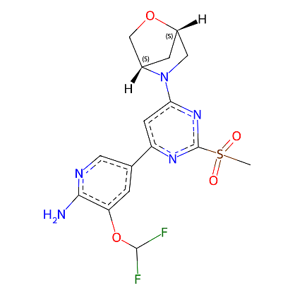 CS(=O)(=O)c1nc(-c2cnc(N)c(OC(F)F)c2)cc(N2C[C@@H]3C[C@H]2CO3)n1